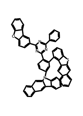 c1ccc(-c2nc(-c3ccc4oc5ccccc5c4c3)nc(-c3ccc(-n4c5ccccc5c5cc6ccccc6cc54)cc3-c3cccc4sc5cc6ccccc6cc5c34)n2)cc1